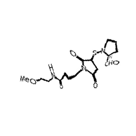 COCCNC(=O)CCN1C(=O)CC(SN2CCC[C@H]2C=O)C1=O